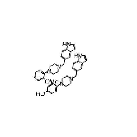 COc1ccccc1N1CCN(Cc2ccc3[nH]ccc3c2)CC1.Oc1ccc(N2CCN(Cc3ccc4[nH]ccc4c3)CC2)cc1